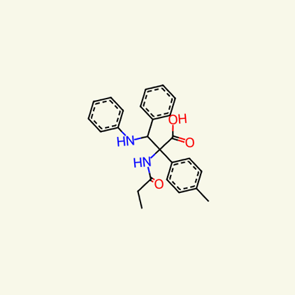 CCC(=O)NC(C(=O)O)(c1ccc(C)cc1)C(Nc1ccccc1)c1ccccc1